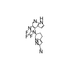 N#Cc1cc2n(n1)C[C@@H](n1c(C(F)(F)F)nc3cnc4[nH]ccc4c31)CC2